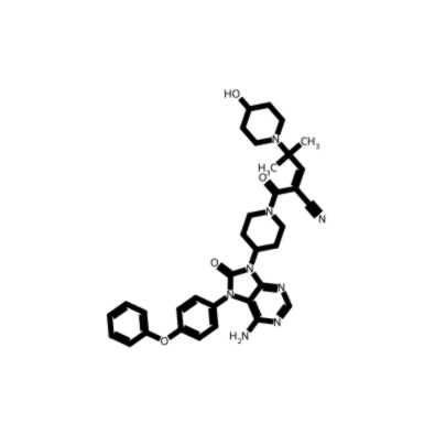 CC(C)(/C=C(/C#N)C(=O)N1CCC(n2c(=O)n(-c3ccc(Oc4ccccc4)cc3)c3c(N)ncnc32)CC1)N1CCC(O)CC1